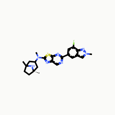 CN(c1nc2cnc(-c3cc(F)c4nn(C)cc4c3)nc2s1)C1CC2(C)CC[C@](C)(C1)N2